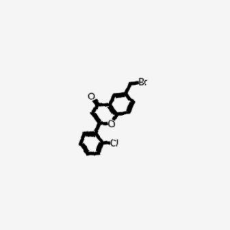 O=c1cc(-c2ccccc2Cl)oc2ccc(CBr)cc12